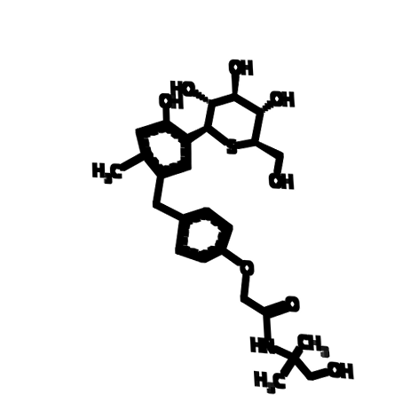 Cc1cc(O)c([C@@H]2S[C@H](CO)[C@@H](O)[C@H](O)[C@H]2O)cc1Cc1ccc(OCC(=O)NC(C)(C)CO)cc1